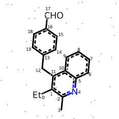 CCc1c(C)nc2ccccc2c1Cc1ccc(C=O)cc1